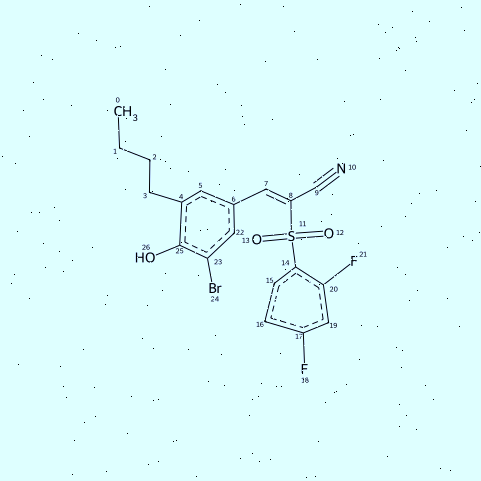 CCCCc1cc(/C=C(/C#N)S(=O)(=O)c2ccc(F)cc2F)cc(Br)c1O